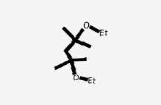 CCOC(C)(C)CC(C)(C)OCC